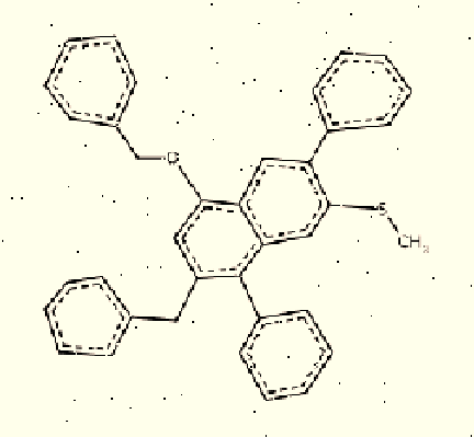 CSc1cc2c(-c3ccccc3)c(Cc3ccccc3)cc(OCc3ccccc3)c2cc1-c1ccccc1